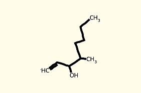 [CH]=CC(O)C(C)CCCC